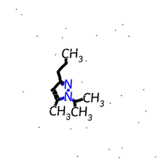 CCCc1cc(C)n(C(C)C)n1